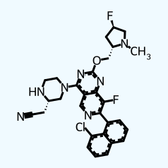 CN1C[C@H](F)C[C@H]1COc1nc(N2CCN[C@@H](CC#N)C2)c2cnc(-c3cccc4cccc(Cl)c34)c(F)c2n1